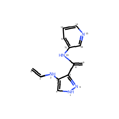 C=CNc1c[nH]nc1C(=C)Nc1cccnc1